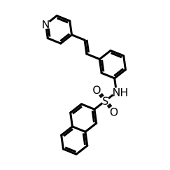 O=S(=O)(Nc1cccc(C=Cc2ccncc2)c1)c1ccc2ccccc2c1